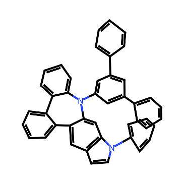 c1ccc(-c2cc(-c3ccccc3)cc(N3c4ccccc4-c4ccccc4-c4cc5ccn(-c6ccccc6)c5cc43)c2)cc1